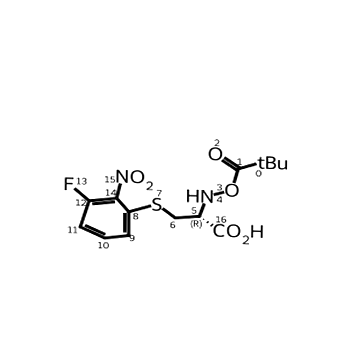 CC(C)(C)C(=O)ON[C@@H](CSc1cccc(F)c1[N+](=O)[O-])C(=O)O